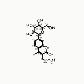 Cc1c(CC(=O)O)c(=O)oc2cc([C@@H]3O[C@H](CO)[C@H](O)[C@H](O)[C@H]3O)ccc12